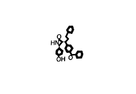 O=C(c1ccccc1)c1ccc(C(CCc2ccccc2)[C@H]2C(=O)N[C@@H]2c2ccc(O)cc2)cc1